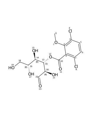 COc1c(Cl)ccc(Cl)c1C(=O)O[C@@H]([C@H](O)[C@H](O)CO)[C@@H](O)C=O